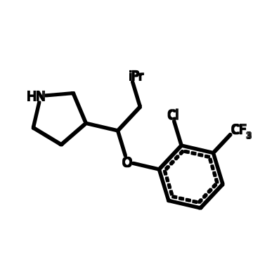 CC(C)CC(Oc1cccc(C(F)(F)F)c1Cl)C1CCNC1